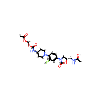 CC(=O)NC[C@H]1CN(c2ccc(N3CCC(NC(=O)OCOC(C)=O)CC3)c(F)c2)C(=O)O1